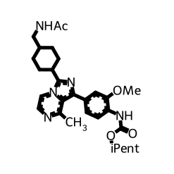 CCCC(C)OC(=O)Nc1ccc(-c2nc(C3CCC(CNC(C)=O)CC3)n3ccnc(C)c23)cc1OC